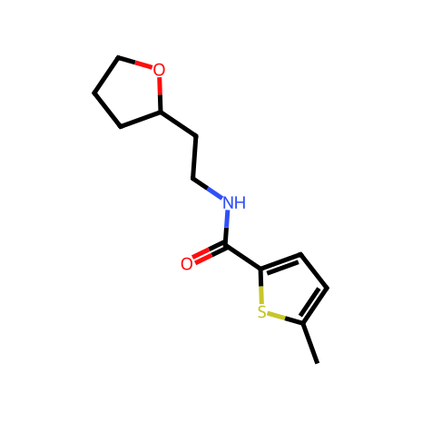 Cc1ccc(C(=O)NCCC2CCCO2)s1